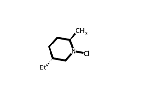 CC[C@@H]1CC[C@@H](C)N(Cl)C1